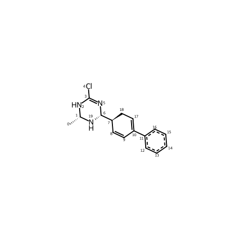 C[C@@H]1NC(Cl)=N[C@H]([C@@H]2C=CC(c3ccccc3)=CC2)N1